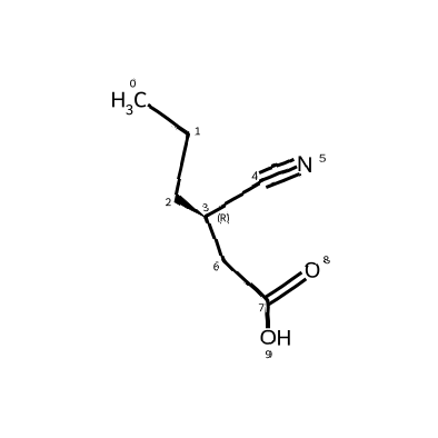 CCC[C@@H](C#N)CC(=O)O